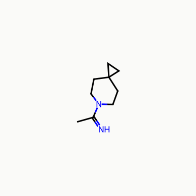 CC(=N)N1CCC2(CC1)CC2